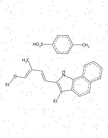 CCOC=C(C)C=CC1=S(CC)c2ccc3ccccc3c2N1.Cc1ccc(S(=O)(=O)O)cc1